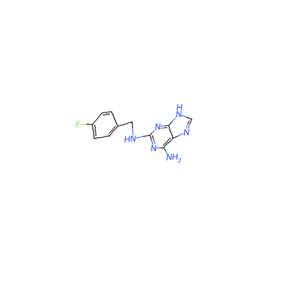 Nc1nc(NCc2ccc(F)cc2)nc2[nH]cnc12